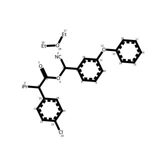 CC(C)C(C(=O)OC(C#N)c1cccc(Oc2ccccc2)c1)c1ccc(Cl)cc1.CCOCC